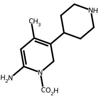 CC1=C(C2CCNCC2)CN(C(=O)O)C(N)=C1